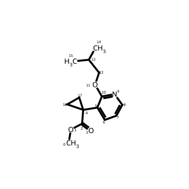 COC(=O)C1(c2cccnc2OCC(C)C)CC1